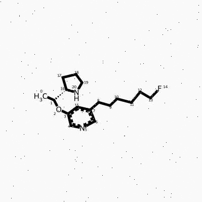 CC(Oc1cncc(CCCCCCF)c1)[C@@H]1CCCN1